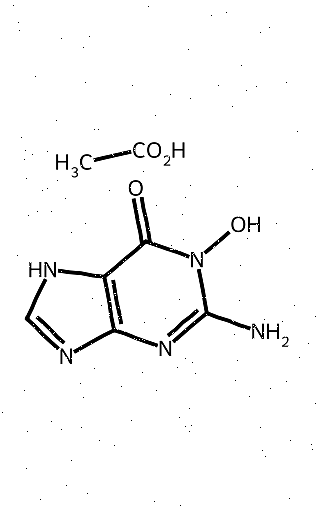 CC(=O)O.Nc1nc2nc[nH]c2c(=O)n1O